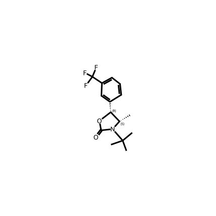 C[C@H]1[C@@H](c2cccc(C(F)(F)F)c2)OC(=O)N1C(C)(C)C